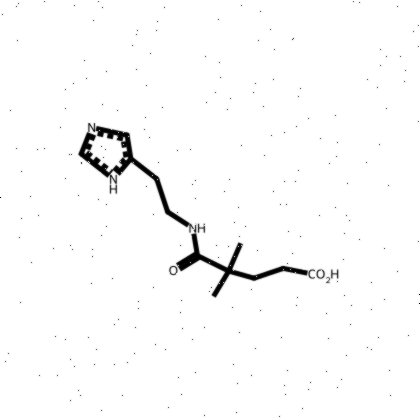 CC(C)(CCC(=O)O)C(=O)NCCc1cnc[nH]1